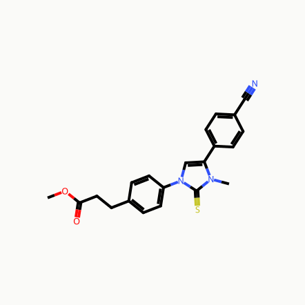 COC(=O)CCc1ccc(-n2cc(-c3ccc(C#N)cc3)n(C)c2=S)cc1